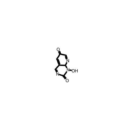 O=C1C=NC2C(=C1)C=NC(=O)N2O